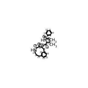 CC(C)C(NS(=O)(=O)c1ccccc1)C(=O)NC1Cc2cccc(c2)CCCNC(=O)C1=O